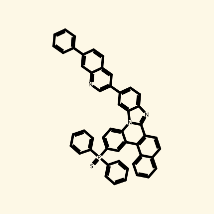 S=P(c1ccccc1)(c1ccccc1)c1ccc2c(c1)c1c3ccccc3ccc1c1nc3ccc(-c4cnc5cc(-c6ccccc6)ccc5c4)cc3n21